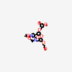 COCCCOc1cc(CN(C(=O)C2=C(c3cccc(OCc4cc(OC)cc(OC)c4)c3)CCN(C(=O)OC(C)(C)C)C2)C2CC2)cc(OC)c1